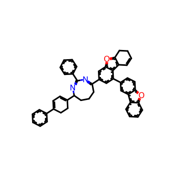 C1=Cc2c(oc3cc(/C4=N/C(c5ccccc5)=N\C(C5=CC=C(c6ccccc6)CC5)CCC4)cc(-c4ccc5oc6ccccc6c5c4)c23)CC1